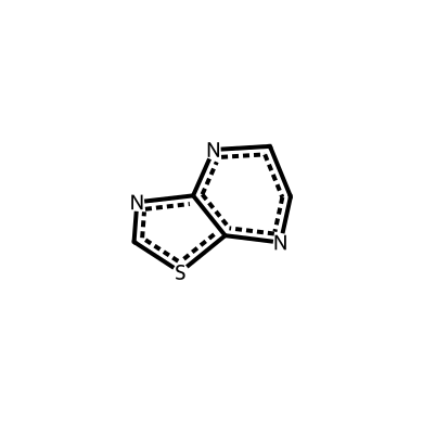 c1cnc2scnc2n1